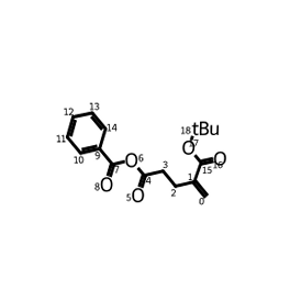 C=C(CCC(=O)OC(=O)c1ccccc1)C(=O)OC(C)(C)C